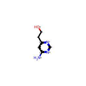 Nc1cc(CCO)ncn1